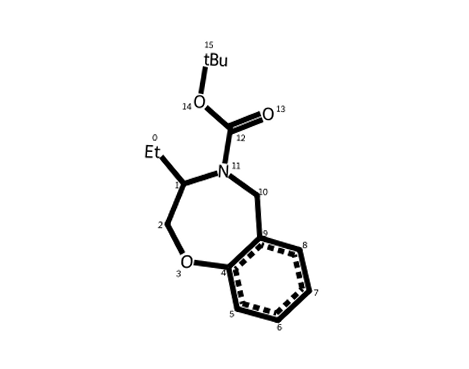 CCC1COc2ccccc2CN1C(=O)OC(C)(C)C